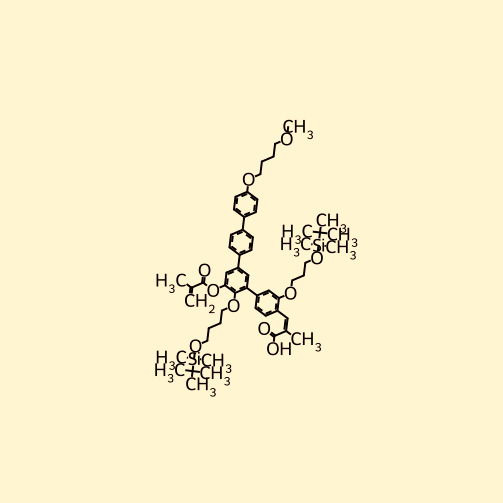 C=C(C)C(=O)Oc1cc(-c2ccc(-c3ccc(OCCCCOC)cc3)cc2)cc(-c2ccc(C=C(C)C(=O)O)c(OCCCO[Si](C)(C)C(C)(C)C)c2)c1OCCCCO[Si](C)(C)C(C)(C)C